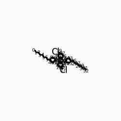 CCCCCCCCc1ccc(N2c3ccc(Cl)cc3N(c3ccc(CCCCCCCC)cc3)c3ccc(Cl)cc32)cc1